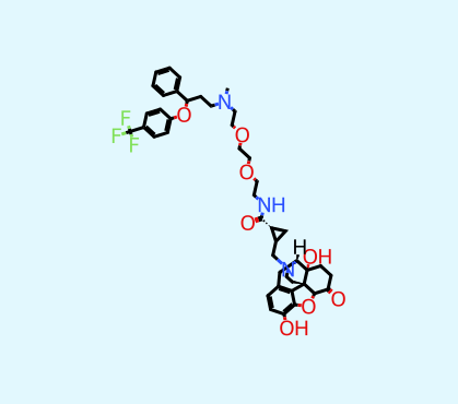 CN(CCOCCOCCNC(=O)[C@@H]1CC1CN1CC[C@]23c4c5ccc(O)c4OC2C(=O)CC[C@@]3(O)[C@H]1C5)CCC(Oc1ccc(C(F)(F)F)cc1)c1ccccc1